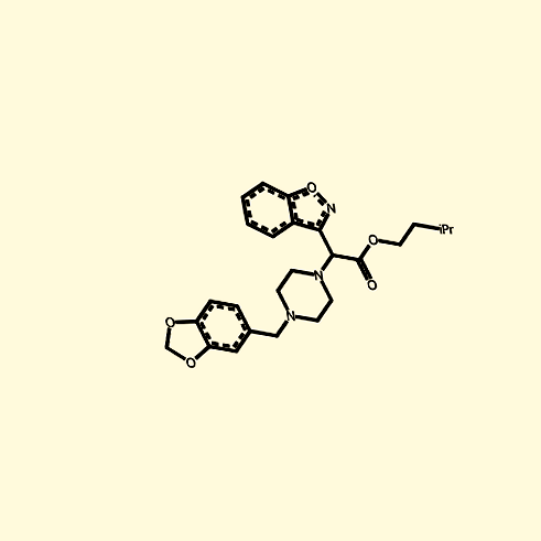 CC(C)CCOC(=O)C(c1noc2ccccc12)N1CCN(Cc2ccc3c(c2)OCO3)CC1